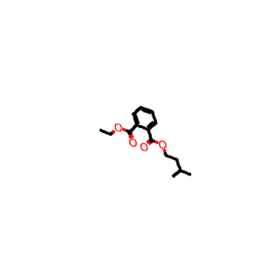 CCOC(=O)c1ccccc1C(=O)OCCC(C)C